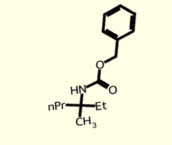 CCCC(C)(CC)NC(=O)OCc1ccccc1